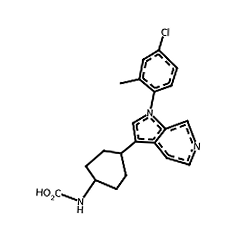 Cc1cc(Cl)ccc1-n1cc(C2CCC(NC(=O)O)CC2)c2ccncc21